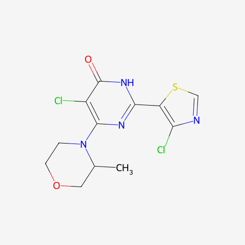 CC1COCCN1c1nc(-c2scnc2Cl)[nH]c(=O)c1Cl